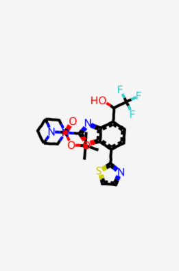 CC(C)(C)OC(=O)N1C2CC1CN(c1nc3c(C(O)C(F)(F)F)ccc(-c4nccs4)c3o1)C2